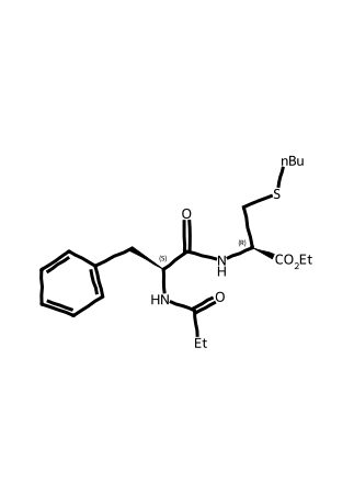 CCCCSC[C@H](NC(=O)[C@H](Cc1ccccc1)NC(=O)CC)C(=O)OCC